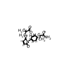 C=C(C)C(=O)O.C=C(C)C(N)=O.O=C1C=CC(=O)N1c1ccccc1